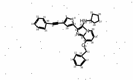 C(#Cc1csc(-c2nc3c(OCc4ccccc4)cccn3c2NC2CCCC2)c1)c1ccccc1